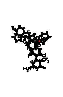 Cc1cc(N)nc(-c2c(Cl)cc3c(N4CC5CCC(C4)N5C(=O)C4CC(F)(F)C4)nc(OCC45CCCC4N(C)CCC5)nc3c2F)c1C(F)(F)F